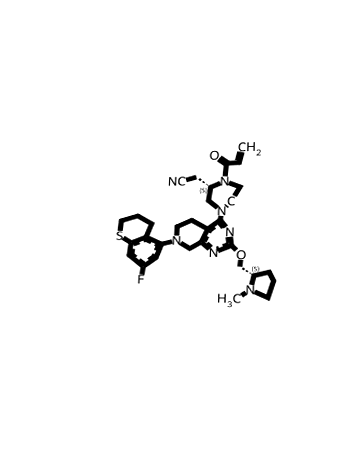 C=CC(=O)N1CCN(c2nc(OC[C@@H]3CCCN3C)nc3c2CCN(c2cc(F)cc4c2CCCS4)C3)C[C@@H]1CC#N